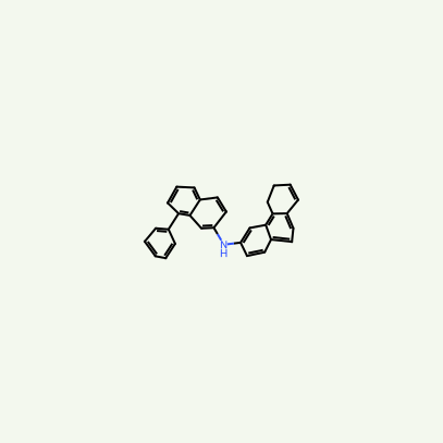 C1=Cc2ccc3ccc(Nc4ccc5cccc(-c6ccccc6)c5c4)cc3c2CC1